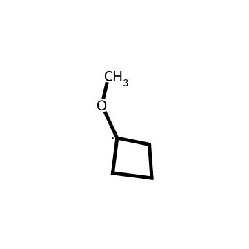 CO[C]1CCC1